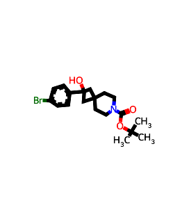 CC(C)(C)OC(=O)N1CCC2(CC1)CC(O)(c1ccc(Br)cc1)C2